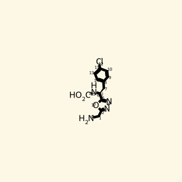 NCc1nnc([C@H](Cc2ccc(Cl)cc2)NC(=O)O)o1